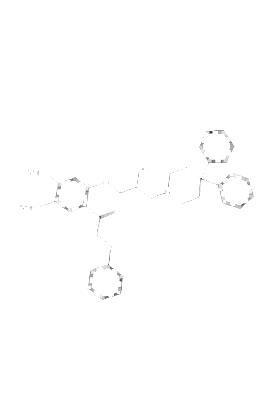 COc1cc(OCC(O)CN2CCC(c3ccccc3)(c3ccccc3)CC2)c(C(=O)CCc2ccccc2)cc1OC